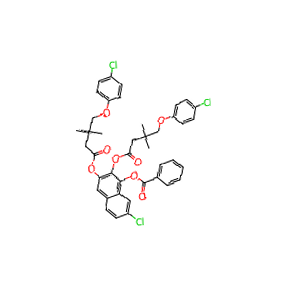 CC(C)(COc1ccc(Cl)cc1)CC(=O)Oc1cc2ccc(Cl)cc2c(OC(=O)c2ccccc2)c1OC(=O)CC(C)(C)COc1ccc(Cl)cc1